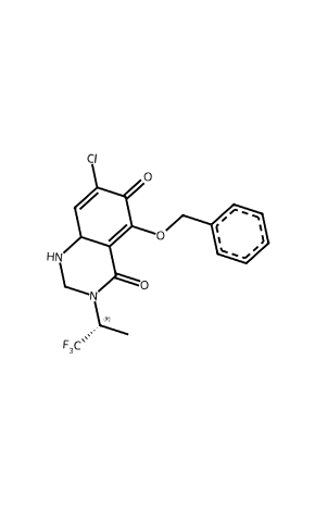 C[C@@H](N1CNC2C=C(Cl)C(=O)C(OCc3ccccc3)=C2C1=O)C(F)(F)F